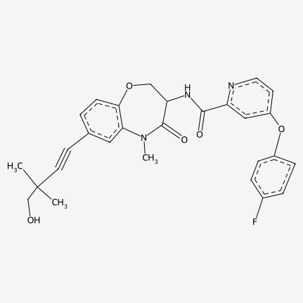 CN1C(=O)C(NC(=O)c2cc(Oc3ccc(F)cc3)ccn2)COc2ccc(C#CC(C)(C)CO)cc21